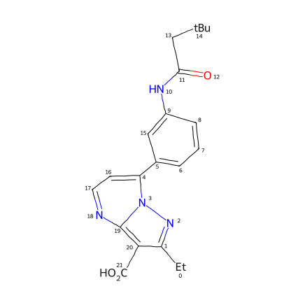 CCc1nn2c(-c3cccc(NC(=O)CC(C)(C)C)c3)ccnc2c1C(=O)O